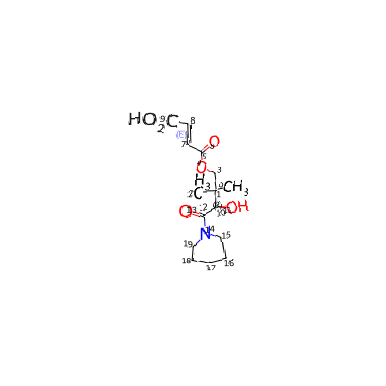 CC(C)(COC(=O)/C=C/C(=O)O)[C@@H](O)C(=O)N1CCCCC1